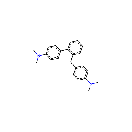 CN(C)c1ccc(Cc2ccccc2-c2ccc(N(C)C)cc2)cc1